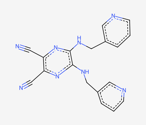 N#Cc1nc(NCc2cccnc2)c(NCc2cccnc2)nc1C#N